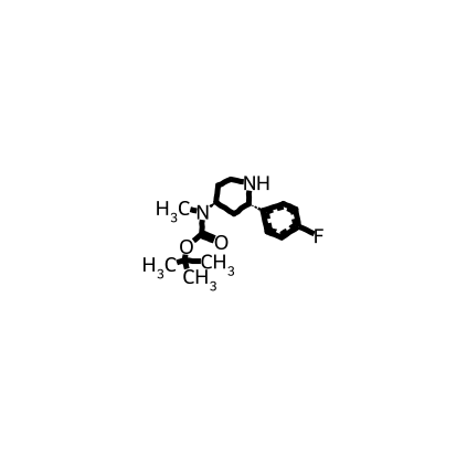 CN(C(=O)OC(C)(C)C)[C@@H]1CCN[C@H](c2ccc(F)cc2)C1